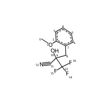 COc1ccccc1CC(O)(C#N)C(F)(F)F